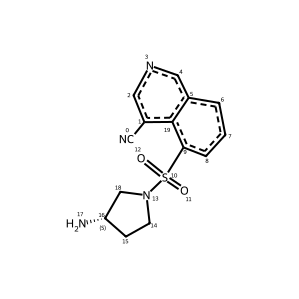 N#Cc1cncc2cccc(S(=O)(=O)N3CC[C@H](N)C3)c12